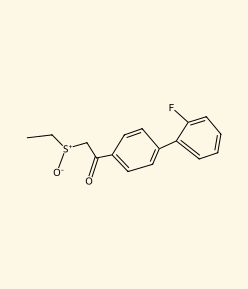 CC[S+]([O-])CC(=O)c1ccc(-c2ccccc2F)cc1